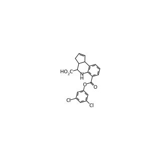 O=C(Oc1cc(Cl)cc(Cl)c1)c1cccc2c1NC(C(=O)O)C1CC=CC21